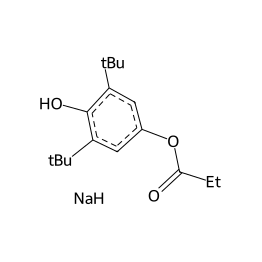 CCC(=O)Oc1cc(C(C)(C)C)c(O)c(C(C)(C)C)c1.[NaH]